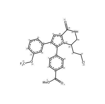 COC(=O)c1ccc(-c2c(-c3cccc(OC(F)(F)F)c3)cc3n2C(CCCl)CNC3=O)cc1